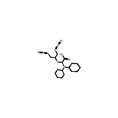 [N-]=[N+]=NCC(CN=[N+]=[N-])OC(C(=O)O)N(C1CCCCC1)C1CCCCC1